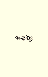 Cc1cc2c(cc1-c1cnc(NCC3CCC3)cn1)OCCO2